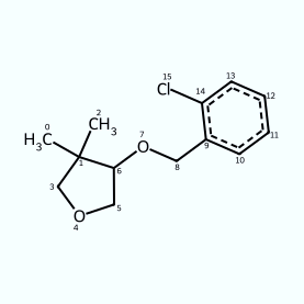 CC1(C)COCC1OCc1ccccc1Cl